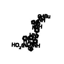 CC(C)(C)OC(=O)NCC(=O)N1CCC[C@H]1c1nc2cc([C@@H]3CC[C@@](c4ccc(N5CCCCC5)c(F)c4)(c4ccc5[nH]c([C@@H]6CCCN6C(=O)CNC(=O)O)nc5c4)N3)ccc2[nH]1